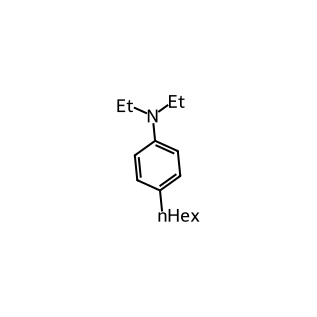 CCCCCCc1ccc(N(CC)CC)cc1